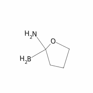 BC1(N)CCCO1